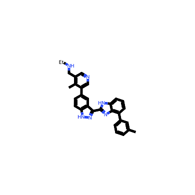 CCNCc1cncc(-c2ccc3[nH]nc(-c4nc5c(-c6cccc(C)c6)cccc5[nH]4)c3c2)c1C